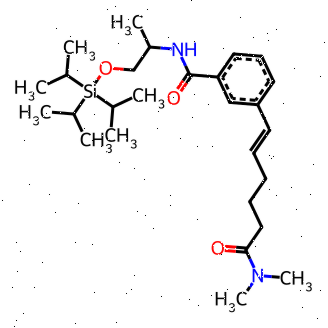 CC(CO[Si](C(C)C)(C(C)C)C(C)C)NC(=O)c1cccc(C=CCCCC(=O)N(C)C)c1